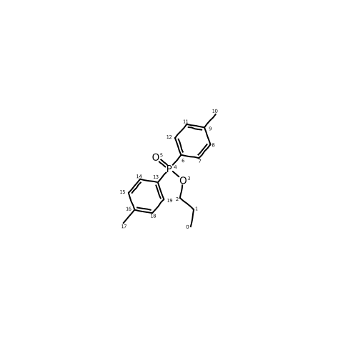 CCCOP(=O)(c1ccc(C)cc1)c1ccc(C)cc1